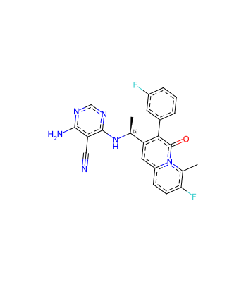 Cc1c(F)ccc2cc([C@H](C)Nc3ncnc(N)c3C#N)c(-c3cccc(F)c3)c(=O)n12